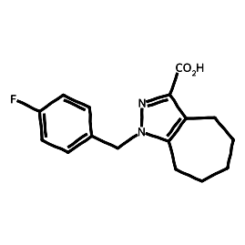 O=C(O)c1nn(Cc2ccc(F)cc2)c2c1CCCCC2